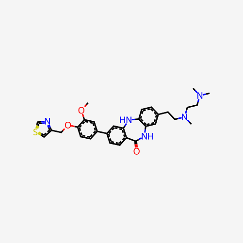 COc1cc(-c2ccc3c(c2)Nc2ccc(CCN(C)CCN(C)C)cc2NC3=O)ccc1OCc1cscn1